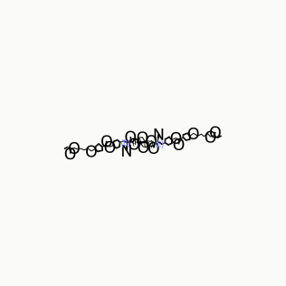 C=CC(=O)OCCCCOc1ccc(C(=O)Oc2ccc(/C=C(\C#N)C(=O)O[C@H]3COC4C3OC[C@H]4OC(=O)/C(C#N)=C/c3ccc(OC(=O)c4ccc(OCCCCOC(=O)C=C)cc4)cc3)cc2)cc1